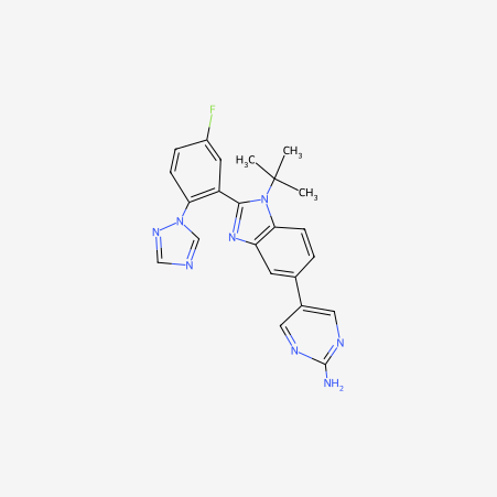 CC(C)(C)n1c(-c2cc(F)ccc2-n2cncn2)nc2cc(-c3cnc(N)nc3)ccc21